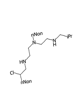 CCCCCCCCCC(Cl)CNCCN(CCCCCCCCC)CCNCC(C)C